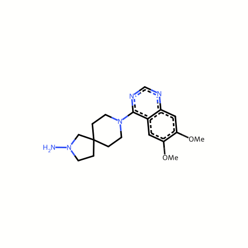 COc1cc2ncnc(N3CCC4(CCN(N)C4)CC3)c2cc1OC